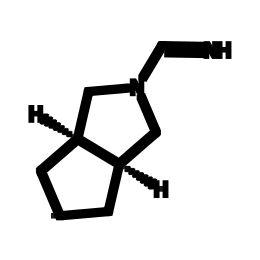 N=CN1C[C@H]2C[CH]C[C@H]2C1